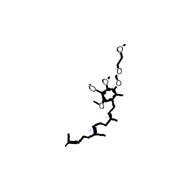 COCCOCOc1c(C)c(C/C=C(\C)CC/C=C(\C)CCC=C(C)C)c(OC)c(OC)c1OC